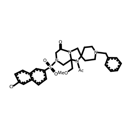 COCC12CN(S(=O)(=O)c3ccc4cc(Cl)ccc4c3)CC(=O)N1CC1(CCN(Cc3ccccc3)CC1)N2C(C)=O